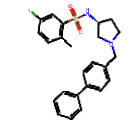 Cc1ccc(F)cc1S(=O)(=O)N[C@H]1CCN(Cc2ccc(-c3ccccc3)cc2)C1